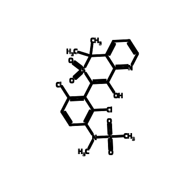 CN(c1ccc(Cl)c(C2=C(O)c3ncccc3C(C)(C)S2(=O)=O)c1Cl)S(C)(=O)=O